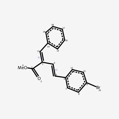 COC(=O)C(/C=C/c1ccc(Br)cc1)=C/c1ccccc1